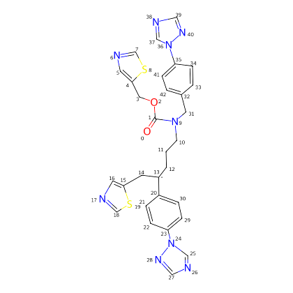 O=C(OCc1cncs1)N(CCC[C](Cc1cncs1)c1ccc(-n2cncn2)cc1)Cc1ccc(-n2cncn2)cc1